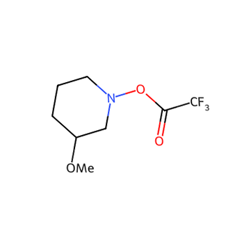 COC1CCCN(OC(=O)C(F)(F)F)C1